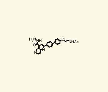 CC(=O)NCCOc1ccc(-c2ccc(-c3cc(C(=O)NN)c4cnccc4n3)cc2)cc1